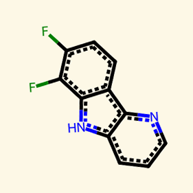 Fc1ccc2c([nH]c3cccnc32)c1F